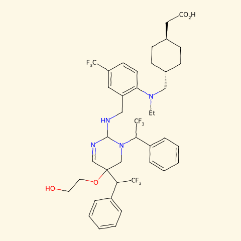 CCN(C[C@H]1CC[C@H](CC(=O)O)CC1)c1ccc(C(F)(F)F)cc1CNC1N=CC(OCCO)(C(c2ccccc2)C(F)(F)F)CN1C(c1ccccc1)C(F)(F)F